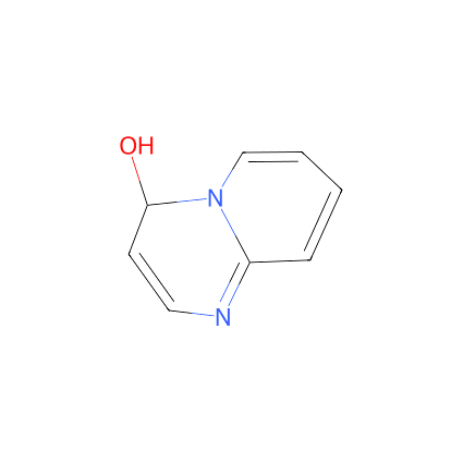 OC1C=CN=C2C=CC=CN21